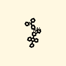 C1=CC2C(C=C1c1c3ccccc3c(-c3ccccc3)c3ccccc13)c1cccnc1N2c1ccc(N(c2ccccc2)c2ccccc2)cc1